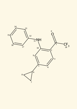 O=C(c1ccc(C2CC2)cc1Nc1ccccc1)C(F)(F)F